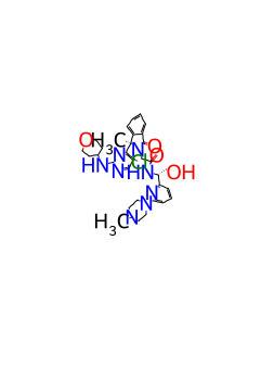 CN1CCN(c2cccc([C@@H](CO)NC(=O)CN3C(=O)c4ccccc4[C@]3(C)c3nc(NC4CCOCC4)ncc3Cl)n2)CC1